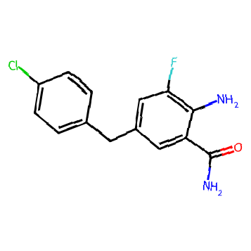 NC(=O)c1cc(Cc2ccc(Cl)cc2)cc(F)c1N